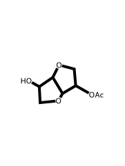 CC(=O)OC1COC2C(O)COC12